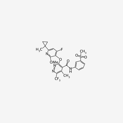 COc1nc(C2(C)CC2)cc(F)c1Oc1nnc(C(F)(F)F)c(C)c1C(=O)Nc1cccc(S(C)(=O)=O)c1